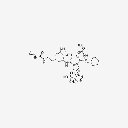 CC(C)(C)OC(=O)N[C@H](CC1CCCCC1)C(=O)N1C[C@@H](n2nncc2C(C)(C)O)C[C@H]1C(=O)NC(CCCCNC(=O)NC1CC1)C(O)C(N)=O